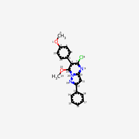 COc1ccc(-c2c(Cl)nc3cc(-c4ccccc4)nn3c2OC)cc1